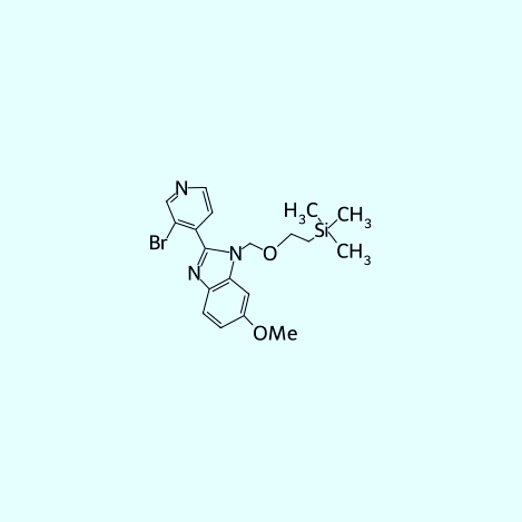 COc1ccc2nc(-c3ccncc3Br)n(COCC[Si](C)(C)C)c2c1